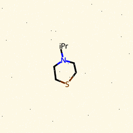 CC(C)N1CCSCC1